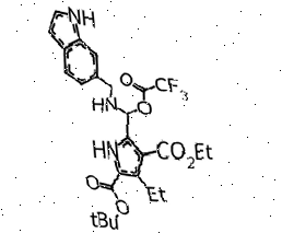 CCOC(=O)c1c(C(NCc2ccc3cc[nH]c3c2)OC(=O)C(F)(F)F)[nH]c(C(=O)OC(C)(C)C)c1CC